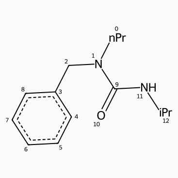 CCCN(Cc1ccccc1)C(=O)NC(C)C